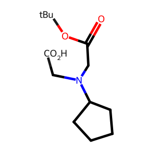 CC(C)(C)OC(=O)CN(CC(=O)O)C1CCCC1